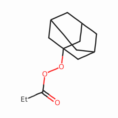 CCC(=O)OOC12CC3CC(CC(C3)C1)C2